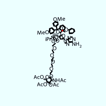 COc1ccc(C(OC(C(=O)COc2ccccc2)[C@H]2O[C@@H](n3cnc4c(N)ncnc43)C[C@@H]2OP(=O)(OCCOCCOCCOCCOCCO[C@@H]2O[C@H](COC(C)=O)[C@H](OC(C)=O)[C@H](OC(C)=O)[C@H]2NC(C)=O)N(C(C)C)C(C)C)(c2ccccc2)c2ccc(OC)cc2)cc1